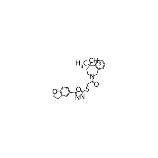 CC1(C)CCN(C(=O)CSc2nnc(-c3ccc4c(c3)CCO4)o2)Cc2ccccc21